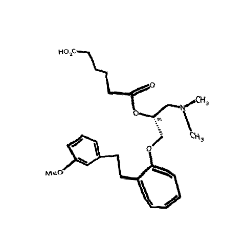 COc1cccc(CCc2ccccc2OC[C@@H](CN(C)C)OC(=O)CCCCC(=O)O)c1